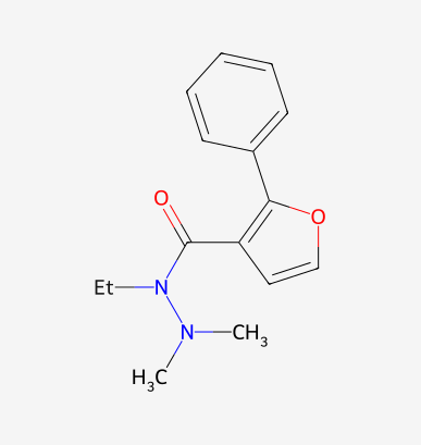 CCN(C(=O)c1ccoc1-c1ccccc1)N(C)C